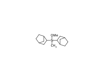 [CH2]O[Si](C)(C1CC2CCC1C2)C1CC2CCC1C2